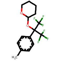 Cc1ccc(C(OC2CCCCO2)(C(F)(F)F)C(F)(F)F)cc1